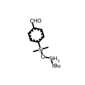 CC(C)(C)[SiH2]O[Si](C)(C)c1ccc(C=O)cc1